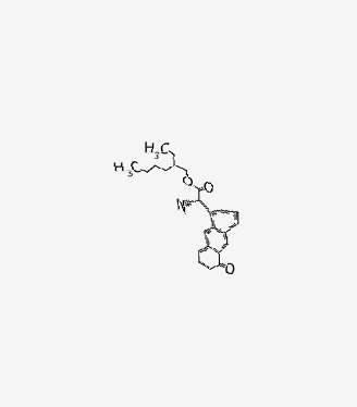 CCCCC(CC)COC(=O)/C(C#N)=c1\cccc2cc3c(cc12)=CC=CC3=O